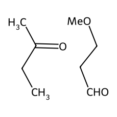 CCC(C)=O.COCCC=O